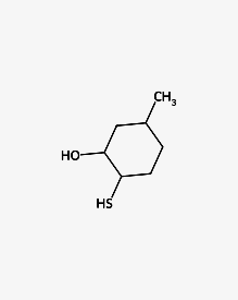 CC1CCC(S)C(O)C1